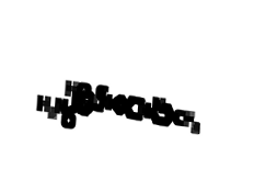 NC(=O)c1cc(CN(C(=O)O)C2CC3(CCN(c4ccc(C(F)(F)F)cn4)CC3)C2)on1